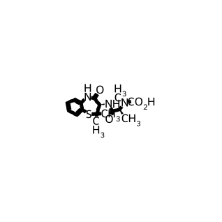 C[C@@H](C(=O)N[C@H]1C(=O)Nc2ccccc2SC1(C)C)N(C)C(=O)O